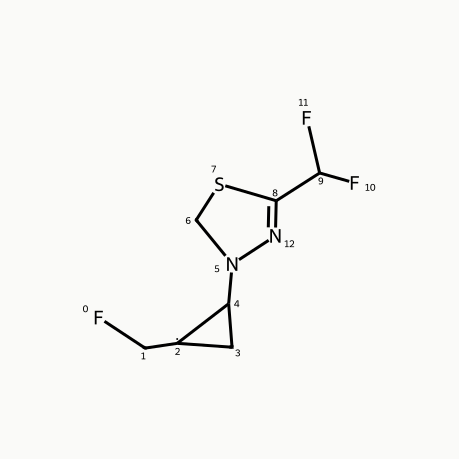 FC[C]1CC1N1CSC(C(F)F)=N1